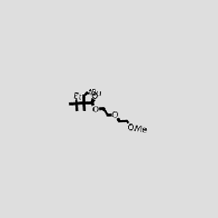 CCC(C)(C)C(C)(CC(C)(C)C)C(=O)OCCOCCOC